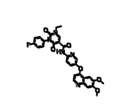 CCn1cc(C(=O)Nc2ccc(Oc3ccnc4cc(OC)c(OC)cc34)cn2)c(=O)n(-c2ccc(F)cc2)c1=O